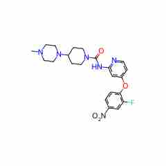 CN1CCN(C2CCN(C(=O)Nc3cc(Oc4ccc([N+](=O)[O-])cc4F)ccn3)CC2)CC1